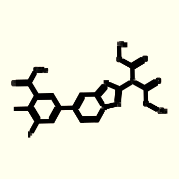 COC(=O)c1cc(-c2ccn3nc(N(C(=O)OC(C)(C)C)C(=O)OC(C)(C)C)nc3c2)cc(F)c1C